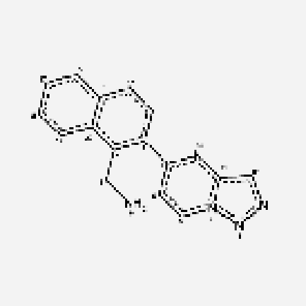 NCc1c(-c2ccn3nncc3n2)ccc2ccccc12